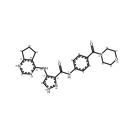 O=C(Nc1ccc(C(=O)N2CCOCC2)cc1)c1n[nH]cc1Nc1ncnc2c1CCC2